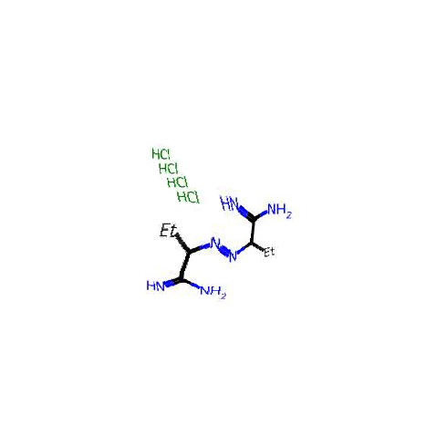 CCC(N=NC(CC)C(=N)N)C(=N)N.Cl.Cl.Cl.Cl